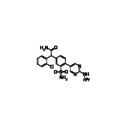 CCCNc1ncc(-c2ccc(C(C(N)=O)c3ccccc3Cl)cc2S(N)(=O)=O)cn1